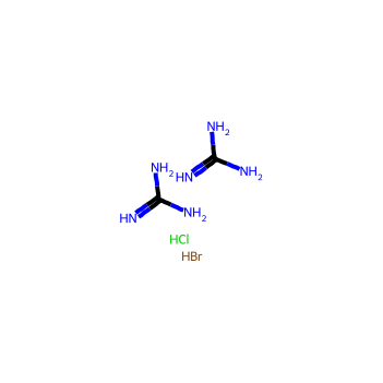 Br.Cl.N=C(N)N.N=C(N)N